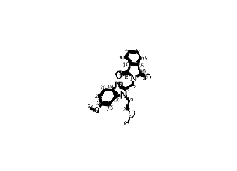 COCCn1c(CN2C(=O)c3ccccc3C2=O)nc2ccc(OC)cc21